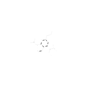 CCCc1cc(C(CC)NC)c(C=N)c(NC(C)C)n1